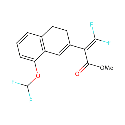 COC(=O)C(C1=Cc2c(cccc2OC(F)F)CC1)=C(F)F